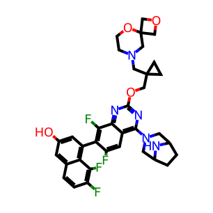 Oc1cc(-c2c(F)cc3c(N4CC5CCC(C4)N5)nc(OCC4(CN5CCOC6(COC6)C5)CC4)nc3c2F)c2c(F)c(F)ccc2c1